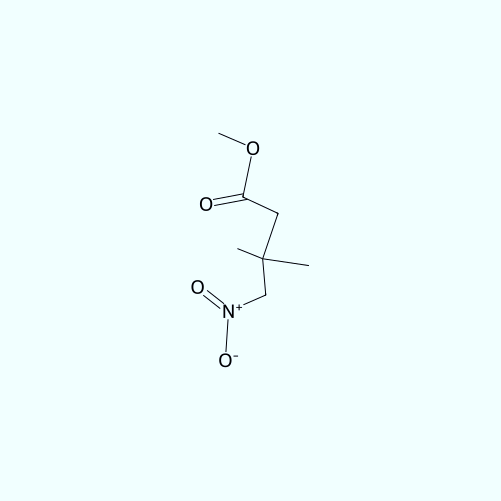 COC(=O)CC(C)(C)C[N+](=O)[O-]